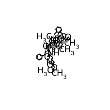 CC(C)C[C@H](NC(=O)[C@H](Cc1ccccc1)N1C(=O)[C@@H](NC(=O)[C@H](CCc2ccccc2)NC(=O)Cc2cc(OC(C)C)on2)CC1C)C(=O)C1(C)CO1